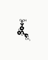 Cc1cc(C(=O)CC(c2ccc(C3CN(C(=O)O)C3)cc2)c2ccccc2C)ccn1